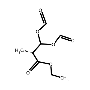 CCOC(=O)[C@H](C)C(OC=O)OC=O